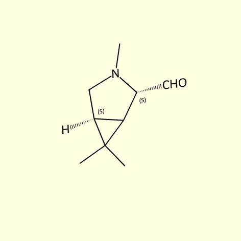 CN1C[C@H]2C([C@H]1C=O)C2(C)C